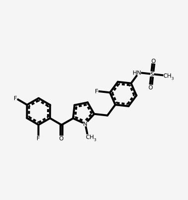 Cn1c(Cc2ccc(NS(C)(=O)=O)cc2F)ccc1C(=O)c1ccc(F)cc1F